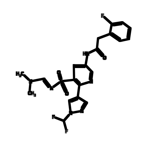 CN(C)/C=N/S(=O)(=O)c1cc(NC(=O)Cc2ccccc2F)cnc1-c1cnn(C(F)F)c1